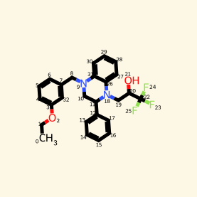 CCOc1cccc(CN2CC(c3ccccc3)N(CC(O)C(F)(F)F)c3ccccc32)c1